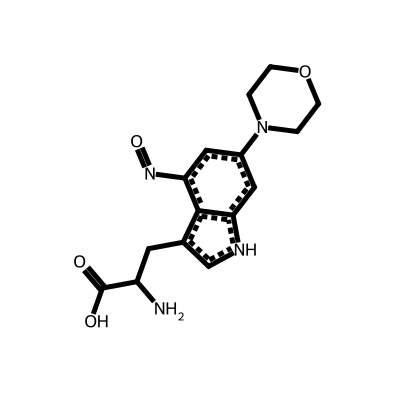 NC(Cc1c[nH]c2cc(N3CCOCC3)cc(N=O)c12)C(=O)O